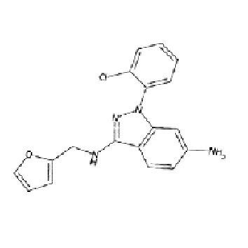 Nc1ccc2c(NCc3ccco3)nn(-c3ccccc3Cl)c2c1